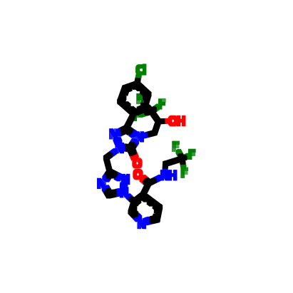 O=C(NCC(F)(F)F)c1ccncc1-n1cnc(Cn2nc(-c3ccc(Cl)cc3)n(CC(O)C(F)(F)F)c2=O)n1